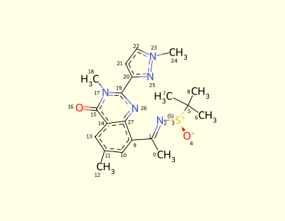 CC(=N[S@+]([O-])C(C)(C)C)c1cc(C)cc2c(=O)n(C)c(-c3ccn(C)n3)nc12